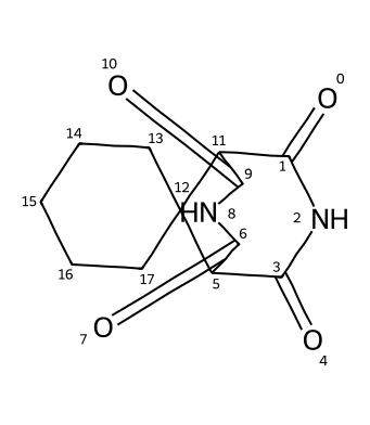 O=C1NC(=O)C2C(=O)NC(=O)C1C21CCCCC1